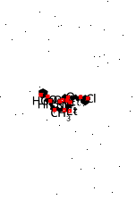 CC[C@@H](C/C=C/C[C@H](C)CSNC(=O)C(O)Cc1ccccc1)CCN(CC)c1cc(C(N)=O)ccc1OCCCCc1cccc(Cl)c1